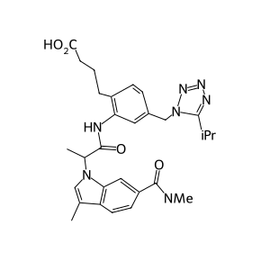 CNC(=O)c1ccc2c(C)cn(C(C)C(=O)Nc3cc(Cn4nnnc4C(C)C)ccc3CCCC(=O)O)c2c1